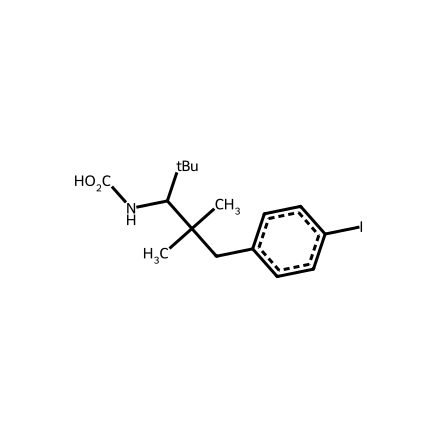 CC(C)(C)C(NC(=O)O)C(C)(C)Cc1ccc(I)cc1